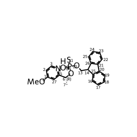 COc1ccnc([C@@H](C)O[P@](O)(=S)OCC2c3ccccc3-c3ccccc32)c1